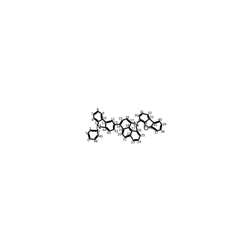 c1ccc(-n2c3ccccc3c3cc(-c4ccc5c6c4ccc4cccc(c46)n5-c4cccc5c4oc4ccccc45)ccc32)cc1